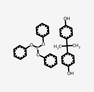 CC(C)(c1ccc(O)cc1)c1ccc(O)cc1.c1ccc(OP(Oc2ccccc2)Oc2ccccc2)cc1